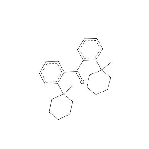 CC1(c2ccccc2C(=O)c2ccccc2C2(C)CCCCC2)CCCCC1